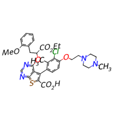 CCOC(=O)C(Cc1ccccc1OC)Oc1ncnc2sc(C(=O)O)c(-c3ccc(OCCN4CCN(C)CC4)c(Cl)c3C)c12